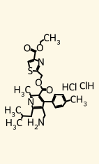 CCOC(=O)c1csc(COC(=O)c2c(C)nc(CC(C)C)c(CN)c2-c2ccc(C)cc2)n1.Cl.Cl